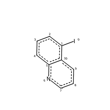 Ic1cccc2n[c]ccc12